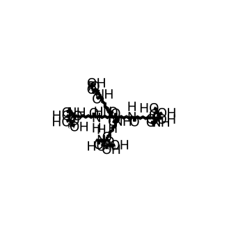 CC(=O)NC1C(OCCCCCC(=O)NCCCCC(NC(=O)CCCCCOC(OC(CO)[C@@H](C)O)[C@H](CO)NC(C)=O)C(=O)NC(CCCCNC(=O)CCCCCOC(OC(CO)[C@@H](C)O)[C@H](CO)NC(C)=O)C(=O)NCCCCCC(=O)NC(C)(C)C(C)(C)OP(C)(=O)O)OC(CO)C(O)C1O